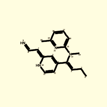 CC/C=C(C1=C/C(=C/C=N)NC=C1)\N(C)c1cccc(C)n1